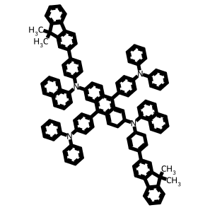 CC1(C)c2ccccc2-c2ccc(C3=CCC(N(c4cccc5ccccc45)C4C=c5c(-c6ccc(N(c7ccccc7)c7ccccc7)cc6)c6ccc(N(c7ccc(-c8ccc9c(c8)C(C)(C)c8ccccc8-9)cc7)c7cccc8ccccc78)cc6c(-c6ccc(N(c7ccccc7)c7ccccc7)cc6)c5=CC4)C=C3)cc21